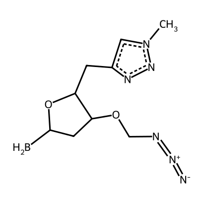 BC1CC(OCN=[N+]=[N-])C(Cc2cn(C)nn2)O1